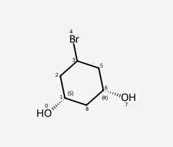 O[C@@H]1CC(Br)C[C@H](O)C1